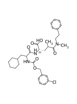 CC(C[C@H](NC(=O)C(CC1CCCCC1)NC(=O)OCc1cccc(Cl)c1)C(=O)O)C(=O)N(C)CCc1ccccc1